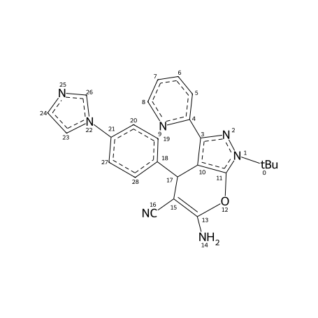 CC(C)(C)n1nc(-c2ccccn2)c2c1OC(N)=C(C#N)C2c1ccc(-n2ccnc2)cc1